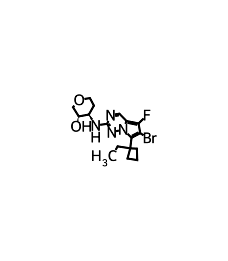 CCC1(c2c(Br)c(F)c3cnc(N[C@@H]4CCOC[C@H]4O)nn23)CCC1